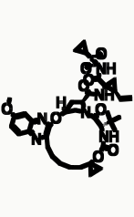 C=C[C@@H]1C[C@]1(NC(=O)[C@@H]1C[C@@H]2CN1C(=O)[C@H](C(C)(C)C)NC(=O)OC1(CCCCCc3nc4ccc(OC)cc4nc3O2)CC1)C(=O)NS(=O)(=O)C1CC1